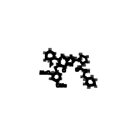 COc1ccc(Cn2c(-c3ccccc3F)nc3sc(N4CCC[C@@H]4C(=O)NCc4ccccc4)nc3c2=O)c(OC)c1